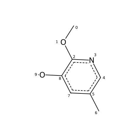 COc1ncc(C)cc1[O]